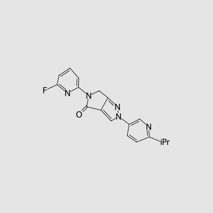 CC(C)c1ccc(-n2cc3c(n2)CN(c2cccc(F)n2)C3=O)cn1